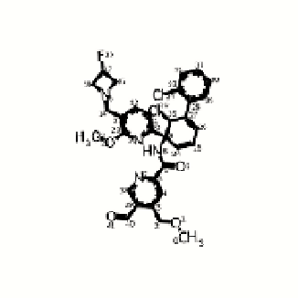 COCc1cc(C(=O)NC2(c3ccc(CN4CC(F)C4)c(OC)n3)C=CC=C(c3ccccc3Cl)C2Cl)ncc1C=O